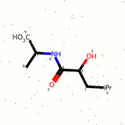 CC(C)CC(O)C(=O)NC(C)C(=O)O